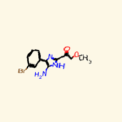 COCC(=O)c1nc(-c2cccc(Br)c2)c(N)[nH]1